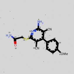 COc1ccc(-c2c(C#N)c(N)nc(SCC(N)=O)c2C#N)cc1